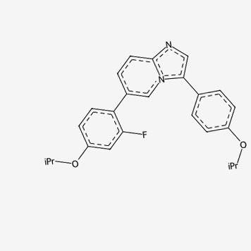 CC(C)Oc1ccc(-c2cnc3ccc(-c4ccc(OC(C)C)cc4F)cn23)cc1